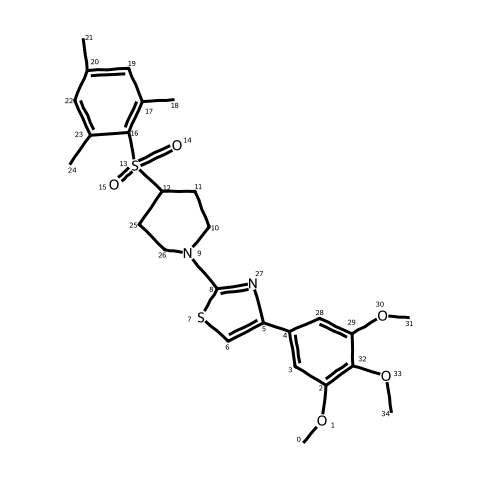 COc1cc(-c2csc(N3CCC(S(=O)(=O)c4c(C)cc(C)cc4C)CC3)n2)cc(OC)c1OC